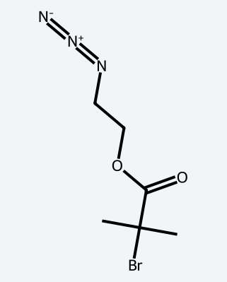 CC(C)(Br)C(=O)OCCN=[N+]=[N-]